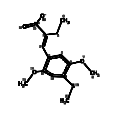 CC/C(=C\c1cc(OC)c(SC)cc1OC)[N+](=O)[O-]